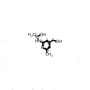 CB(O)Nc1cc(CO)cc(C)n1